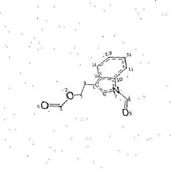 O=COCCc1cn(C=O)c2ccccc12